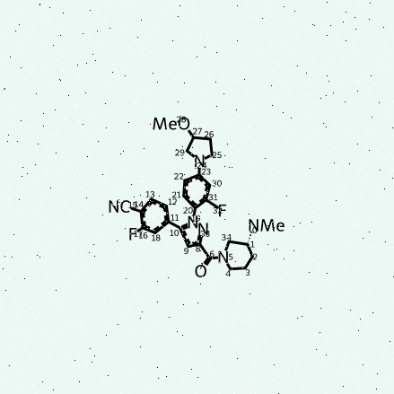 CN[C@@H]1CCCN(C(=O)c2cc(-c3ccc(C#N)c(F)c3)n(-c3ccc(N4CCC(OC)C4)cc3F)n2)C1